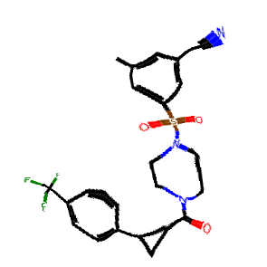 Cc1cc(C#N)cc(S(=O)(=O)N2CCN(C(=O)C3CC3c3ccc(C(F)(F)F)cc3)CC2)c1